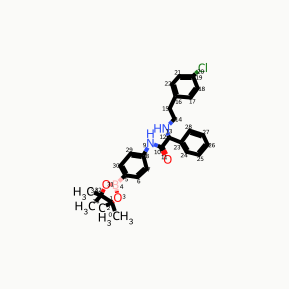 CC1(C)OB(c2ccc(NC(=O)C(NCCc3ccc(Cl)cc3)c3ccccc3)cc2)OC1(C)C